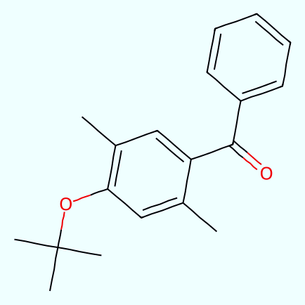 Cc1cc(C(=O)c2ccccc2)c(C)cc1OC(C)(C)C